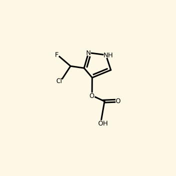 O=C(O)Oc1c[nH]nc1C(F)Cl